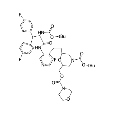 CC(C)(C)OC(=O)NC(C(=O)Nc1cncc(F)c1CCC1CN(C(=O)OC(C)(C)C)CC(COC(=O)N2CCOCC2)O1)C(c1ccc(F)cc1)c1ccc(F)cc1